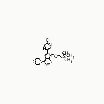 C[Si](C)(C)CCOCn1c(-c2cnc(Cl)cn2)cc2c(N3CCOCC3)ncnc21